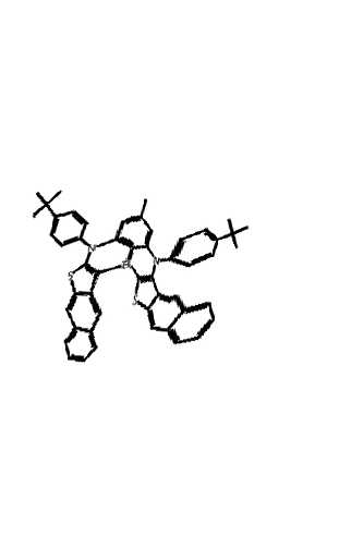 Cc1cc2c3c(c1)N(c1ccc(C(C)(C)C)cc1)c1c(sc4cc5ccccc5cc14)B3c1c(sc3cc4ccccc4cc13)N2c1ccc(C(C)(C)C)cc1